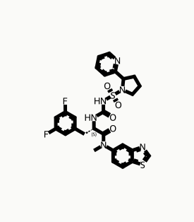 CN(C(=O)[C@H](Cc1cc(F)cc(F)c1)NC(=O)NS(=O)(=O)N1CCCC1c1ccccn1)c1ccc2scnc2c1